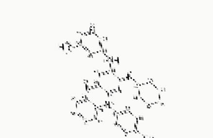 Cc1ccc(-n2c3c/c(=N\C4CCCCC4)c(Nc4cncc(C)c4)cc-3nc3ccccc32)cc1